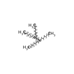 CCCCCCCCN(CCCCCCCC)CCN(CCCCCCCC)CCCCCCCC